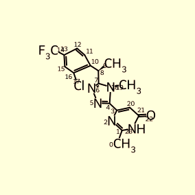 Cc1nc(-c2nnc([C@H](C)c3ccc(C(F)(F)F)cc3Cl)n2C)cc(=O)[nH]1